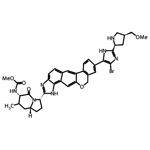 COC[C@@H]1CN[C@H](c2nc(Br)c(-c3ccc4c(c3)COc3cc5c(ccc6nc([C@@H]7CC[C@@H]8CC(C)[C@H](NC(=O)OC)C(=O)N87)[nH]c65)cc3-4)[nH]2)C1